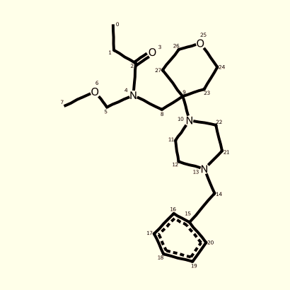 CCC(=O)N(COC)CC1(N2CCN(Cc3ccccc3)CC2)CCOCC1